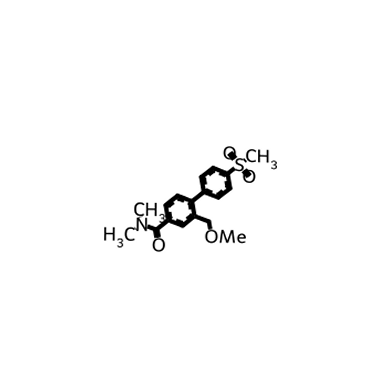 COCc1cc(C(=O)N(C)C)ccc1-c1ccc(S(C)(=O)=O)cc1